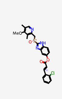 COc1c(C)cnc(C[S+]([O-])c2nc3cc(OC(=O)/C=C/c4ccccc4Cl)ccc3[nH]2)c1C